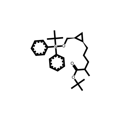 CC(CCC[C@@H]1C[C@@H]1CO[Si](c1ccccc1)(c1ccccc1)C(C)(C)C)C(=O)OC(C)(C)C